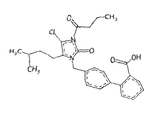 CCCC(=O)n1c(Cl)c(CCC(C)C)n(Cc2ccc(-c3ccccc3C(=O)O)cc2)c1=O